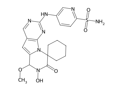 COC1c2cc3cnc(Nc4ccc(S(N)(=O)=O)nc4)nc3n2C2(CCCCC2)C(=O)N1O